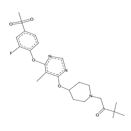 Cc1c(Oc2ccc(S(C)(=O)=O)cc2F)ncnc1OC1CCN(CC(=O)C(C)(C)C)CC1